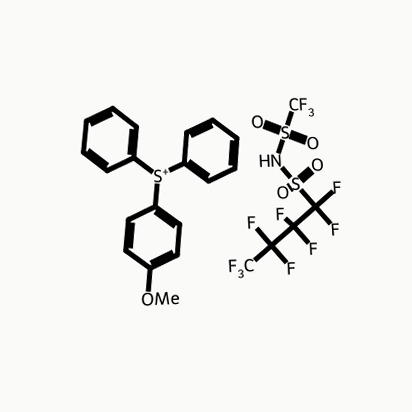 COc1ccc([S+](c2ccccc2)c2ccccc2)cc1.O=S(=O)(NS(=O)(=O)C(F)(F)C(F)(F)C(F)(F)C(F)(F)F)C(F)(F)F